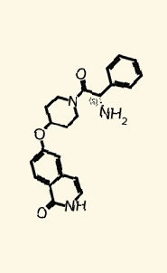 N[C@H](C(=O)N1CCC(Oc2ccc3c(=O)[nH]ccc3c2)CC1)c1ccccc1